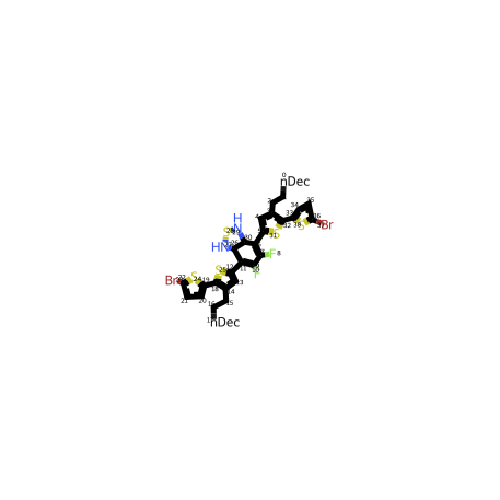 CCCCCCCCCCCCc1cc(C2=C(F)C(F)=C(c3cc(CCCCCCCCCCCC)c(-c4ccc(Br)s4)s3)C3NSNC23)sc1-c1ccc(Br)s1